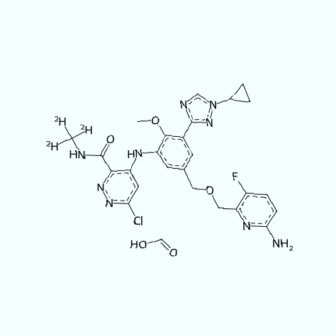 O=CO.[2H]C([2H])([2H])NC(=O)c1nnc(Cl)cc1Nc1cc(COCc2nc(N)ccc2F)cc(-c2ncn(C3CC3)n2)c1OC